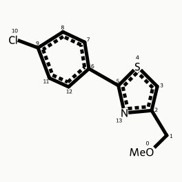 COCc1csc(-c2ccc(Cl)cc2)n1